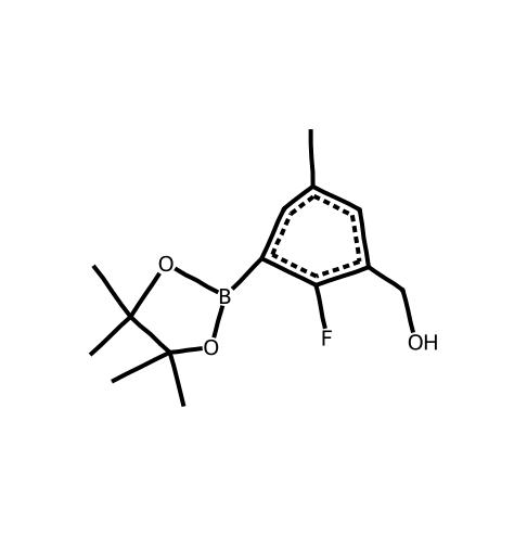 Cc1cc(CO)c(F)c(B2OC(C)(C)C(C)(C)O2)c1